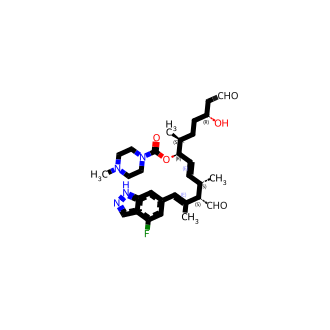 C/C(=C\c1cc(F)c2cn[nH]c2c1)[C@@H](C=O)[C@@H](C)/C=C/[C@H](OC(=O)N1CCN(C)CC1)[C@@H](C)CC[C@@H](O)CC=O